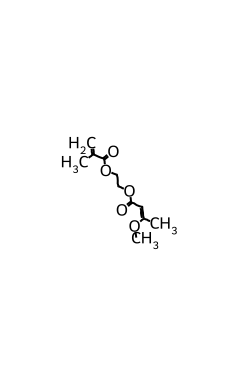 C=C(C)C(=O)OCCOC(=O)C=C(C)OC